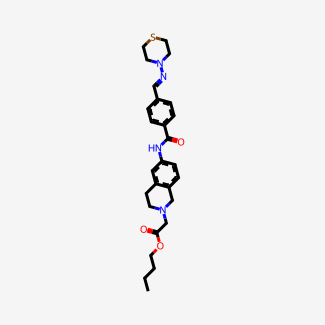 CCCCOC(=O)CN1CCc2cc(NC(=O)c3ccc(/C=N/N4CCSCC4)cc3)ccc2C1